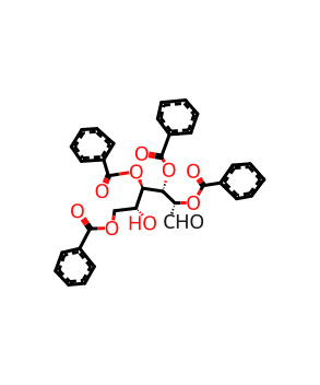 O=C[C@@H](OC(=O)c1ccccc1)[C@@H](OC(=O)c1ccccc1)[C@H](OC(=O)c1ccccc1)[C@H](O)COC(=O)c1ccccc1